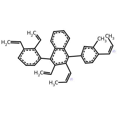 C=Cc1cccc(-c2c(C=C)c(/C=C\C)c(-c3ccc(/C=C\C)c(C)c3)c3ccccc23)c1C=C